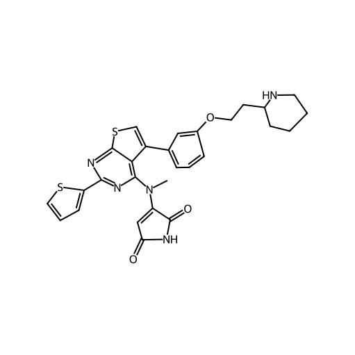 CN(C1=CC(=O)NC1=O)c1nc(-c2cccs2)nc2scc(-c3cccc(OCCC4CCCCN4)c3)c12